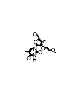 COCCO[C@@H]1[C@H](C)[C@@H](C=O)O[C@H]1n1cc(C)c(=O)[nH]c1=O